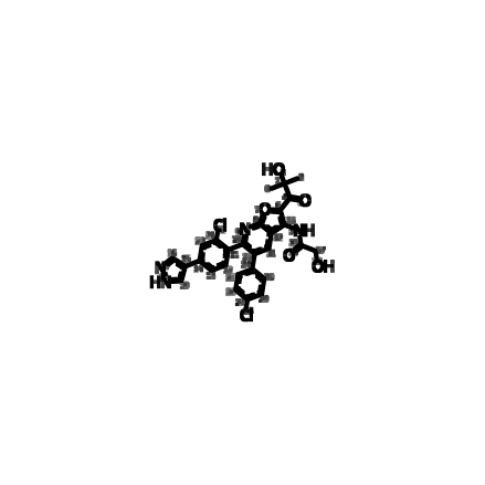 CC(C)(O)C(=O)c1oc2nc(-c3ccc(-c4cn[nH]c4)cc3Cl)c(-c3ccc(Cl)cc3)cc2c1NC(=O)CO